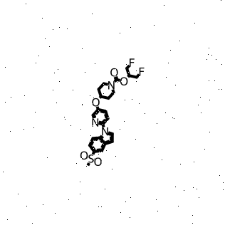 CS(=O)(=O)c1ccc2c(ccn2-c2ccc(OC3CCN(C(=O)OC(CF)CF)CC3)cn2)c1